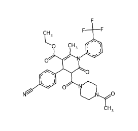 CCOC(=O)C1=C(C)N(c2cccc(C(F)(F)F)c2)C(=O)C(C(=O)N2CCN(C(C)=O)CC2)C1c1ccc(C#N)cc1